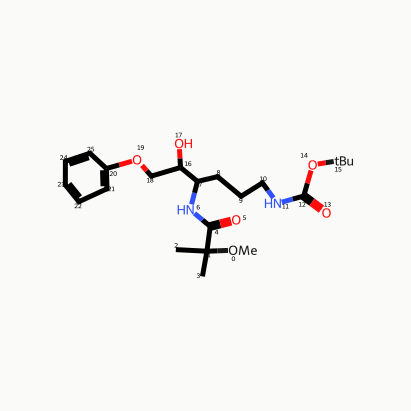 COC(C)(C)C(=O)NC(CCCNC(=O)OC(C)(C)C)C(O)COc1ccccc1